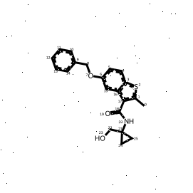 Cc1sc2ccc(OCc3ccccc3)cc2c1C(=O)NC1(CO)CC1